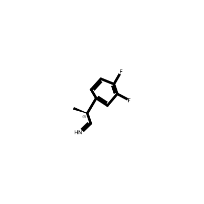 C[C@H](C=N)c1ccc(F)c(F)c1